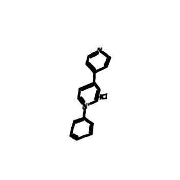 Cl.c1ccc(-[n+]2ccc(-c3ccncc3)cc2)cc1